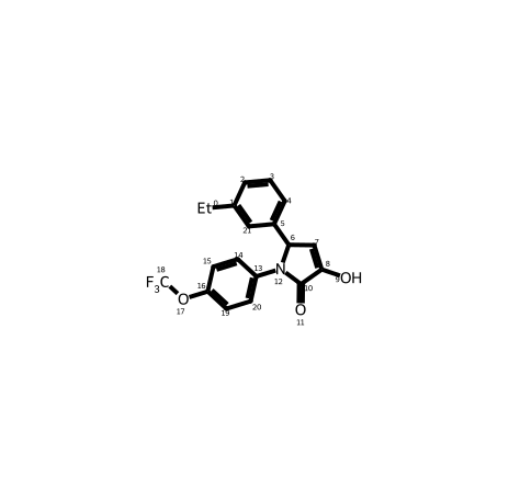 CCc1cccc(C2C=C(O)C(=O)N2c2ccc(OC(F)(F)F)cc2)c1